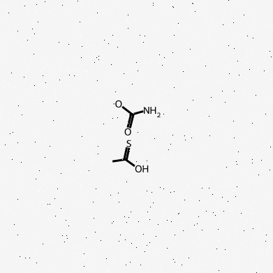 CC(O)=S.NC([O])=O